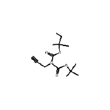 C#CCN(C(=O)OC(C)(C)C)C(=O)OC(C)(C)CC